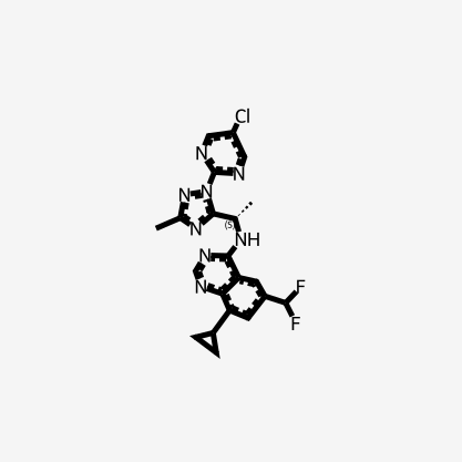 Cc1nc([C@H](C)Nc2ncnc3c(C4CC4)cc(C(F)F)cc23)n(-c2ncc(Cl)cn2)n1